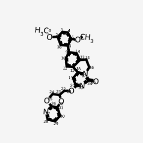 COc1ccc(OC)c(-c2ccc3c(c2)CCn2c-3cc(OCC3COc4ncccc4O3)nc2=O)c1